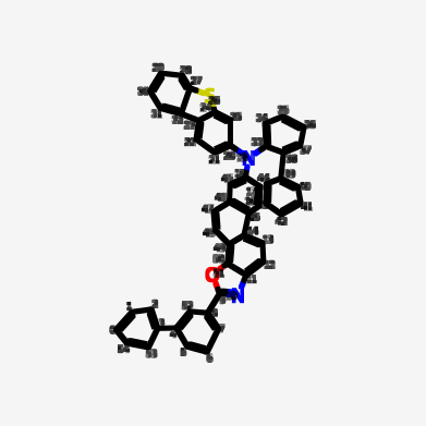 c1ccc(-c2cccc(-c3nc4ccc5c6ccc(N(c7ccc8c(c7)sc7ccccc78)c7ccccc7-c7ccccc7)cc6ccc5c4o3)c2)cc1